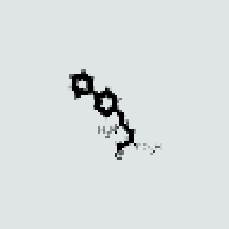 N[C@H](Cc1ccc(-c2ccccc2)cc1)C[C@@H](CO)C(=O)O